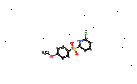 COc1ccc(S(=O)(=O)c2cccc(Cl)n2)cc1